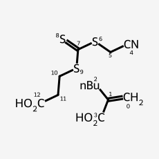 C=C(CCCC)C(=O)O.N#CCSC(=S)SCCC(=O)O